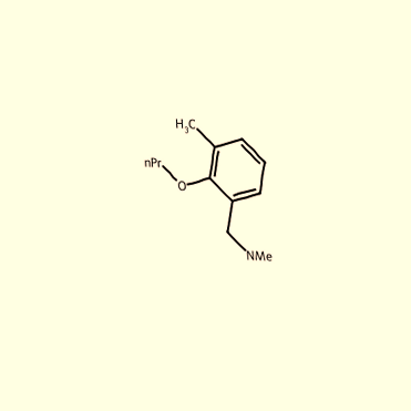 CCCOc1c(C)cccc1CNC